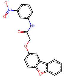 O=C(COc1ccc2oc3ccccc3c2c1)Nc1cccc([N+](=O)[O-])c1